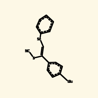 CC(C)(C)c1ccc(C(=C[Se]c2ccccc2)SC#N)cc1